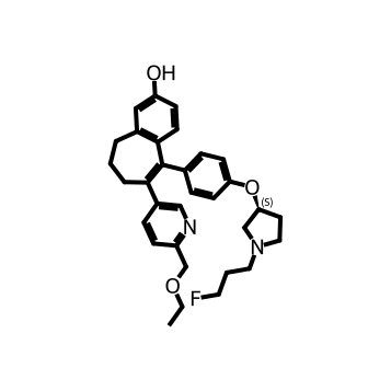 CCOCc1ccc(C2=C(c3ccc(O[C@H]4CCN(CCCF)C4)cc3)c3ccc(O)cc3CCC2)cn1